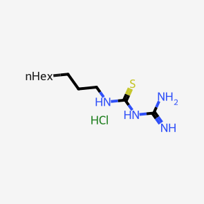 CCCCCCCCCNC(=S)NC(=N)N.Cl